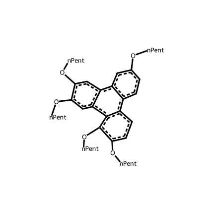 CCCCCOc1ccc2c(c1)c1cc(OCCCCC)c(OCCCCC)cc1c1c(OCCCCC)c(OCCCCC)ccc21